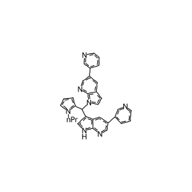 CCCn1cccc1C(c1c[nH]c2ncc(-c3cccnc3)cc12)n1ccc2cc(-c3cccnc3)cnc21